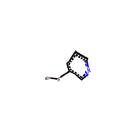 CCSc1c[c]cnc1